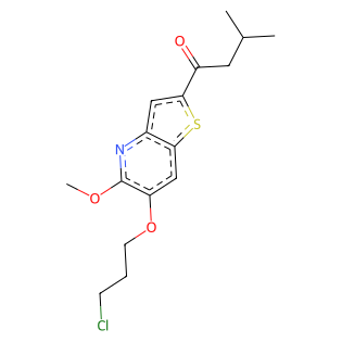 COc1nc2cc(C(=O)CC(C)C)sc2cc1OCCCCl